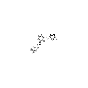 Cc1nnc(C[CH]c2cccc(OCCCC(F)(F)F)c2)o1